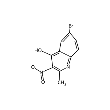 Cc1nc2ccc(Br)cc2c(O)c1[N+](=O)[O-]